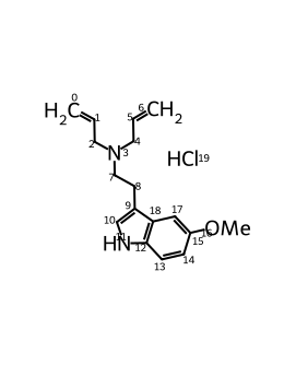 C=CCN(CC=C)CCc1c[nH]c2ccc(OC)cc12.Cl